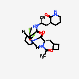 N#C[C@H](C[C@H]1CCCNC1=O)NC(=O)[C@@H]1[C@H]2CC[C@H](CC2(F)F)N1C(=O)[C@H](CC1CCC1)NC(=O)C(F)(F)F